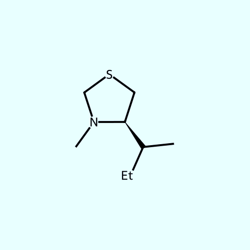 CCC(C)[C@@H]1CSCN1C